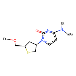 CCCCN(CC)c1ccn([C@H]2CS[C@@H](COCC)C2)c(=O)n1